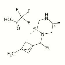 CCC(N1C[C@H](C)NC[C@H]1C)C12CC(C(F)(F)F)(C1)C2.O=C(O)C(F)(F)F